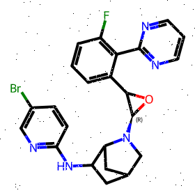 Fc1cccc(C2O[C@H]2N2CC3CC(Nc4ccc(Br)cn4)C2C3)c1-c1ncccn1